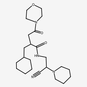 N#CC(CNC(=O)C(CC(=O)N1CCOCC1)CC1CCCCC1)N1CCCCC1